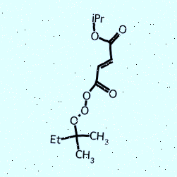 CCC(C)(C)OOOC(=O)C=CC(=O)OC(C)C